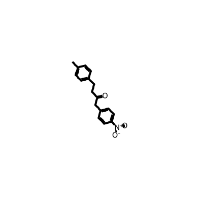 Cc1ccc(CCC(=O)Cc2ccc([N+](=O)[O-])cc2)cc1